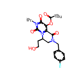 CC(C)n1c(=O)c(OC(=O)C(C)(C)C)c2n(c1=O)C(CCO)CN(Cc1ccc(F)cc1)C2=O